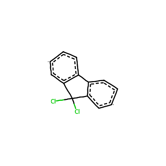 ClC1(Cl)c2c[c]ccc2-c2cc[c]cc21